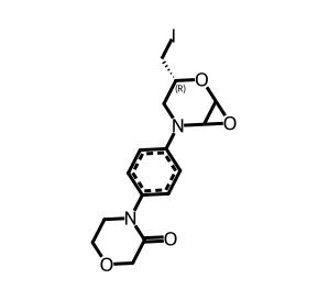 O=C1COCCN1c1ccc(N2C[C@H](CI)OC3OC32)cc1